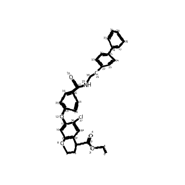 CCOC(=O)C1CCOc2cc(Oc3ccc(C(=O)NCCc4ccc(-c5ccccc5)cc4)cc3)c(Cl)cc21